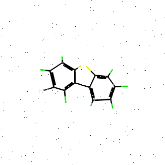 O=[N+]([O-])c1c(Cl)c(Cl)c2sc3c(Cl)c(Cl)c(Cl)c(Cl)c3c2c1Cl